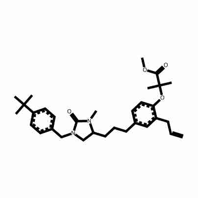 C=CCc1cc(CCCC2CN(Cc3ccc(C(C)(C)C)cc3)C(=O)N2C)ccc1OC(C)(C)C(=O)OC